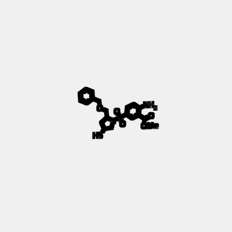 COC(=O)c1cc(S(=O)(=O)N2CC(S)CC2COCc2ccccc2)ccc1N